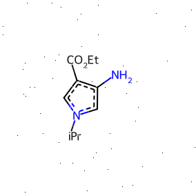 CCOC(=O)c1cn(C(C)C)cc1N